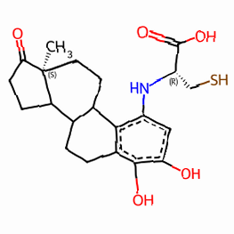 C[C@]12CCC3c4c(N[C@@H](CS)C(=O)O)cc(O)c(O)c4CCC3C1CCC2=O